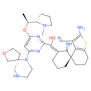 C[C@H](Oc1cc(N2CCNC[C@]23CCOC3)nc(/C(O)=C2\CCC[C@@]3(CCCc4sc(N)c(C#N)c43)C2=N)n1)[C@@H]1CCCN1C